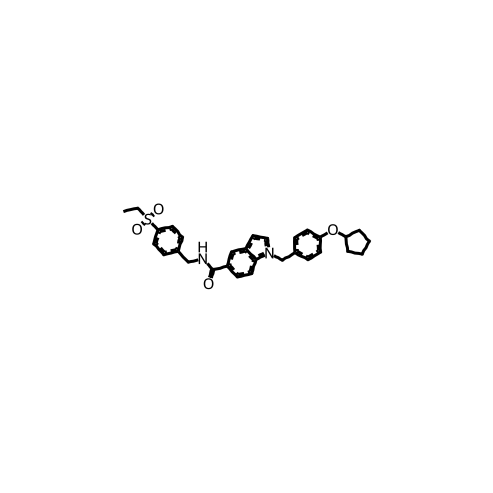 CCS(=O)(=O)c1ccc(CNC(=O)c2ccc3c(ccn3Cc3ccc(OC4CCCC4)cc3)c2)cc1